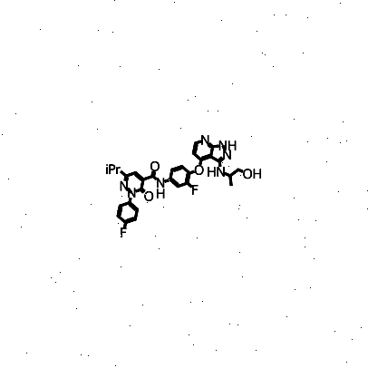 CC(CO)Nc1n[nH]c2nccc(Oc3ccc(NC(=O)c4cc(C(C)C)nn(-c5ccc(F)cc5)c4=O)cc3F)c12